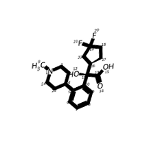 CN1CCC(c2ccccc2[C@@](O)(C(=O)O)[C@@H]2CCC(F)(F)C2)CC1